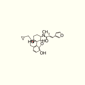 CN(C(=O)/C=C/c1ccoc1)[C@@H]1CCC2(O)C3Cc4ccc(O)c5c4[C@@]2(CCN3CC2CC2)[C@H]1O5